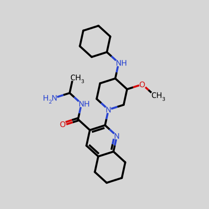 COC1CN(c2nc3c(cc2C(=O)NC(C)N)CCCC3)CCC1NC1CCCCC1